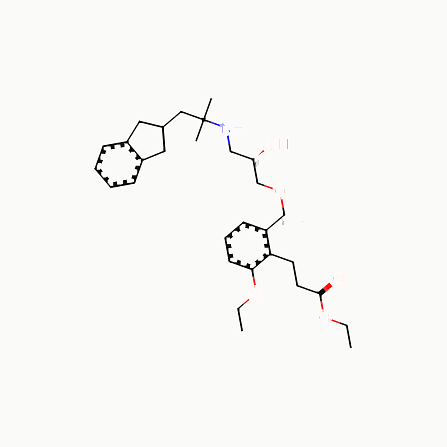 CCOC(=O)CCc1c(OCC)cccc1[C@@H](C)OC[C@H](O)CNC(C)(C)CC1Cc2ccccc2C1